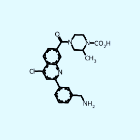 CC1CN(C(=O)c2ccc3c(Cl)cc(-c4cccc(CN)c4)nc3c2)CCN1C(=O)O